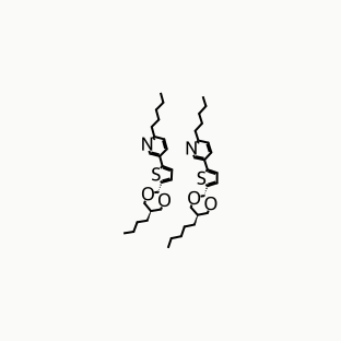 CCCCCc1ccc(-c2ccc([C@H]3OC[C@H](CCCC)CO3)s2)cn1.CCCCCc1ccc(-c2ccc([C@H]3OC[C@H](CCCCC)CO3)s2)cn1